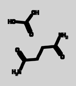 NC(=O)CCC(N)=O.O=C(O)O